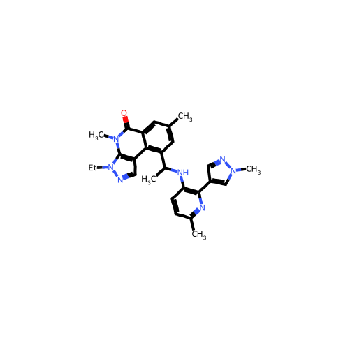 CCn1ncc2c3c(C(C)Nc4ccc(C)nc4-c4cnn(C)c4)cc(C)cc3c(=O)n(C)c21